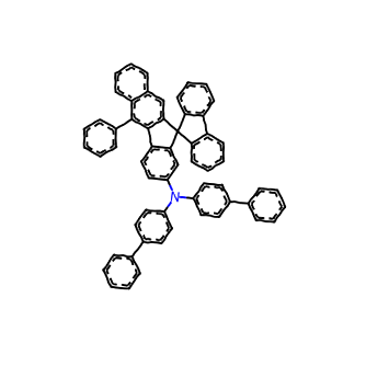 c1ccc(-c2ccc(N(c3ccc(-c4ccccc4)cc3)c3ccc4c(c3)C3(c5ccccc5-c5ccccc53)c3cc5ccccc5c(-c5ccccc5)c3-4)cc2)cc1